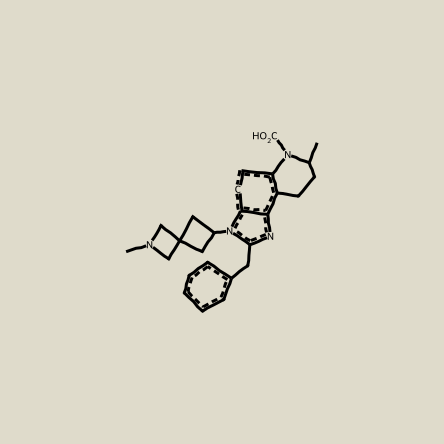 CC1CCc2c(ccc3c2nc(Cc2ccccc2)n3C2CC3(C2)CN(C)C3)N1C(=O)O